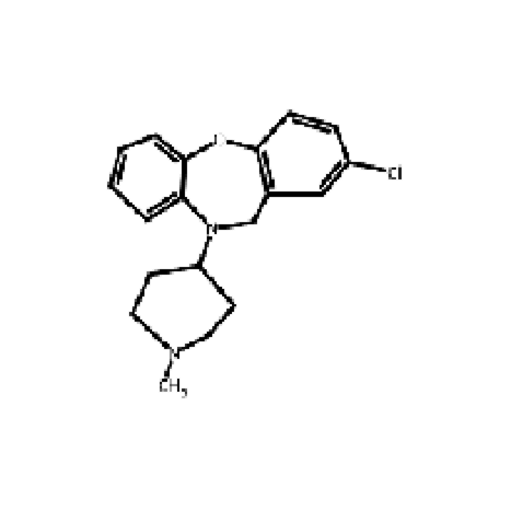 CN1CCC(N2Cc3cc(Cl)ccc3Oc3ccccc32)CC1